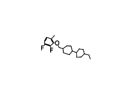 CCC1CCC(C2CCC(COc3c(C)ccc(F)c3F)CC2)CC1